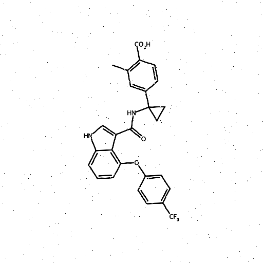 Cc1cc(C2(NC(=O)c3c[nH]c4cccc(Oc5ccc(C(F)(F)F)cc5)c34)CC2)ccc1C(=O)O